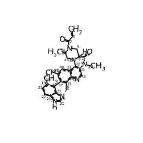 C=CC(=O)N1C[C@@H]2C(=O)N(C)c3cnc4c(F)c(-c5c(C)ccc6[nH]cnc56)c(Cl)cc4c3N2C[C@H]1C